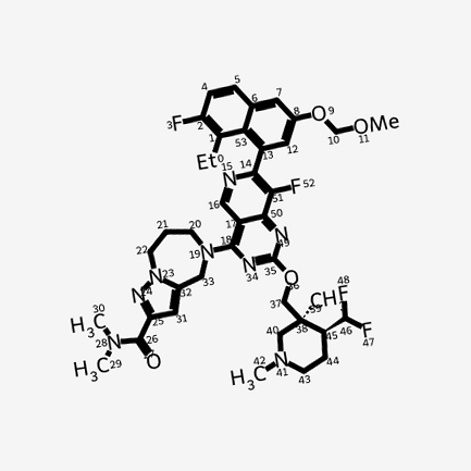 CCc1c(F)ccc2cc(OCOC)cc(-c3ncc4c(N5CCCn6nc(C(=O)N(C)C)cc6C5)nc(OC[C@]5(C)CN(C)CC[C@@H]5C(F)F)nc4c3F)c12